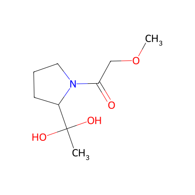 COCC(=O)N1CCCC1C(C)(O)O